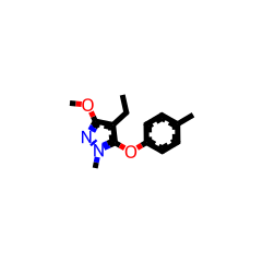 CCc1c(OC)nn(C)c1Oc1ccc(C)cc1